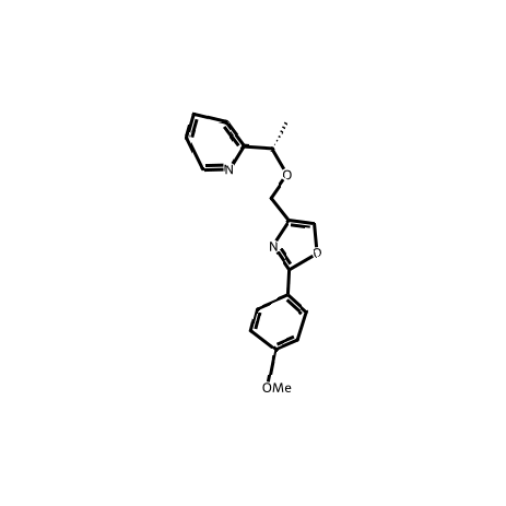 COc1ccc(-c2nc(CO[C@@H](C)c3ccccn3)co2)cc1